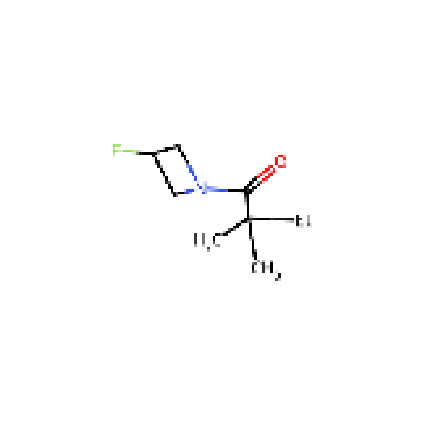 CCC(C)(C)C(=O)N1CC(F)C1